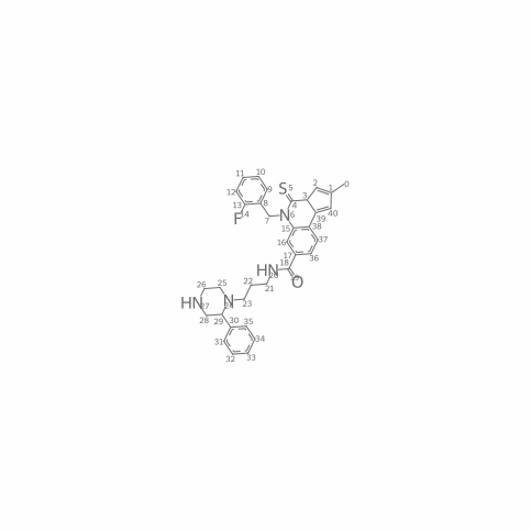 CC1=CC2C(=S)N(Cc3ccccc3F)c3cc(C(=O)NCCCN4CCNCC4c4ccccc4)ccc3C2=C1